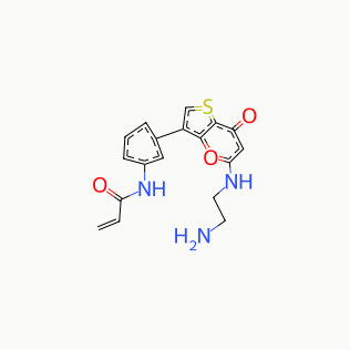 C=CC(=O)Nc1cccc(-c2csc3c(=O)cc(NCCN)oc23)c1